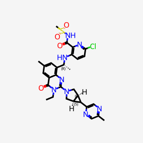 CCn1c(N2C[C@@H]3C(c4cnc(C)cn4)[C@@H]3C2)nc2c([C@@H](C)Nc3ccc(Cl)nc3C(=O)NS(C)(=O)=O)cc(C)cc2c1=O